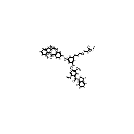 C=Nc1cc(OCc2cc(CCCOCCC(=O)OC)cc(COc3ccc4c(c3)N=C[C@@H]3Cc5ccccc5N3C4O)c2)c(OC)cc1C(=O)N1CCc2ccccc21